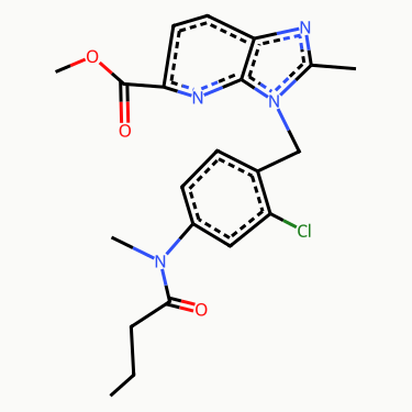 CCCC(=O)N(C)c1ccc(Cn2c(C)nc3ccc(C(=O)OC)nc32)c(Cl)c1